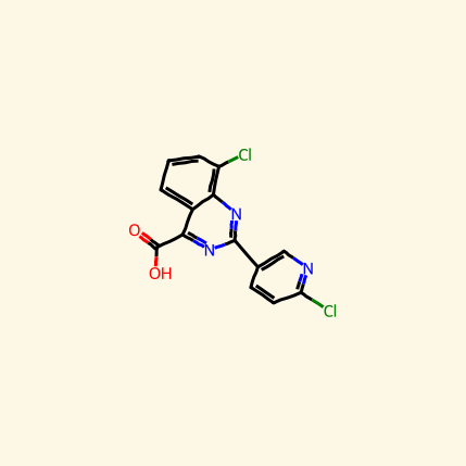 O=C(O)c1nc(-c2ccc(Cl)nc2)nc2c(Cl)cccc12